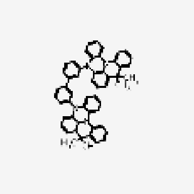 CC1(C)c2ccccc2N2c3ccccc3N(c3cccc(-c4cccc(N5C6=CC=CC7C6N(c6ccccc65)c5ccccc5C7(C)C)c4)c3)c3cccc1c32